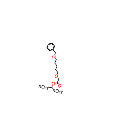 CCCCCCCCC(CCCCCCCC)OC(=O)COCCCCCOCc1ccccc1